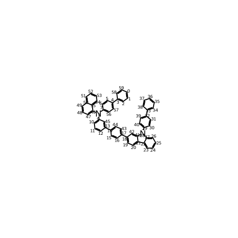 c1ccc(-c2ccc(N(c3cccc(-c4ccc(-c5ccc6c7ccccc7n(-c7ccc(-c8ccccc8)cc7)c6c5)cc4)c3)c3cccc4ccccc34)cc2)cc1